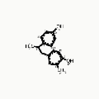 Cc1cc(CC(C)c2ccc(O)cc2)ccc1O